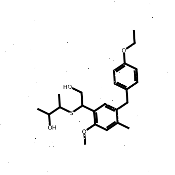 CCOc1ccc(Cc2cc(C(CO)SC(C)C(C)O)c(OC)cc2C)cc1